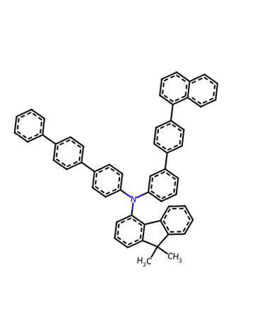 CC1(C)c2ccccc2-c2c(N(c3ccc(-c4ccc(-c5ccccc5)cc4)cc3)c3cccc(-c4ccc(-c5cccc6ccccc56)cc4)c3)cccc21